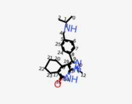 CC(C)NCc1ccc(-c2nn(C)c3[nH]c(=O)c4c(c23)CCCC4)cc1